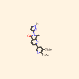 CCn1ccc(N2C(=O)c3ccc(-c4cnc(OC)c(OC)c4)nc3C2C)n1